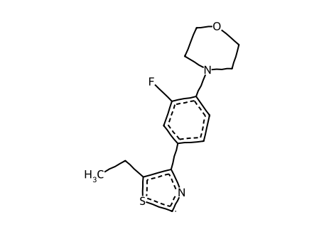 CCc1s[c]nc1-c1ccc(N2CCOCC2)c(F)c1